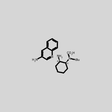 CC(C)(C)N(C(=O)O)[C@H]1CCCC[C@H]1N.Nc1cnc2ccccc2c1